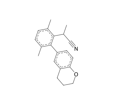 Cc1ccc(C)c(C(C)C#N)c1-c1ccc2c(c1)CCCO2